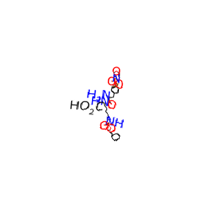 N[C@@H](Cc1ccc(S(=O)(=O)N2CCOCC2)cc1)C(=O)N[C@@H](CCCCNC(=O)OCc1ccccc1)C(=O)O